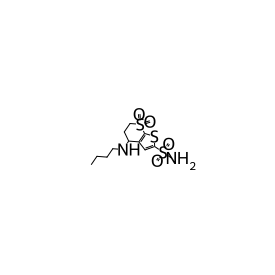 CCCCNC1CCS(=O)(=O)c2sc(S(N)(=O)=O)cc21